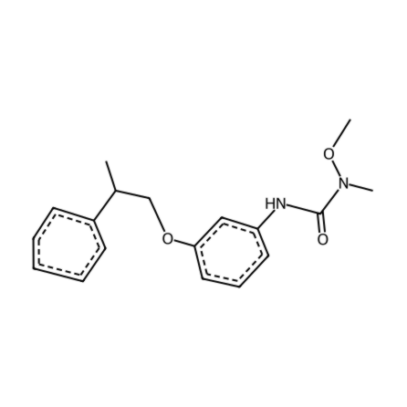 CON(C)C(=O)Nc1cccc(OCC(C)c2ccccc2)c1